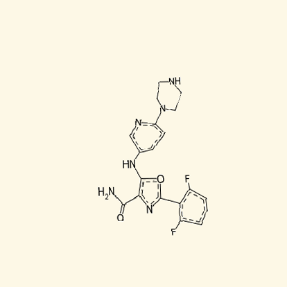 NC(=O)c1nc(-c2c(F)cccc2F)oc1Nc1ccc(N2CCNCC2)nc1